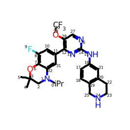 CC(C)N1CC(C)(C)Oc2c(F)cc(-c3nc(Nc4ccc5c(c4)CCNC5)ncc3OC(F)(F)F)cc21